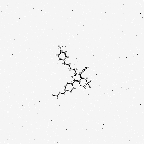 COCCN1CCN(c2nc(SCCOc3ccc(Cl)cc3)c(C#N)c3c2COC(C)(C)C3)CC1